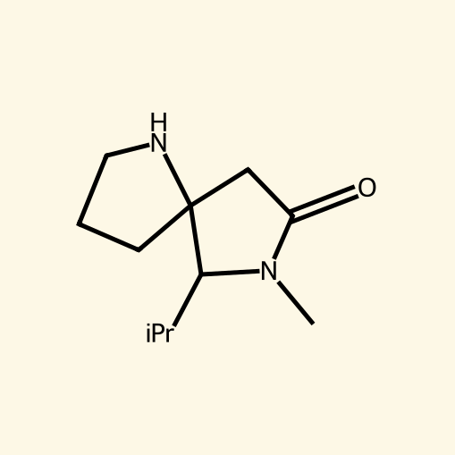 CC(C)C1N(C)C(=O)CC12CCCN2